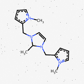 CC1N(Cc2cccn2C)C=CN1Cc1cccn1C